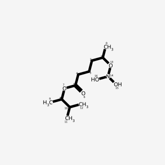 CC(CCCC(=O)OC(C)C(C)C)ON(O)O